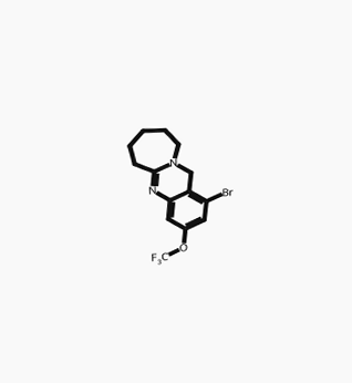 FC(F)(F)Oc1cc(Br)c2c(c1)N=C1CCCCCN1C2